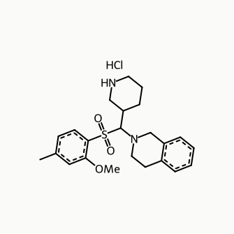 COc1cc(C)ccc1S(=O)(=O)C(C1CCCNC1)N1CCc2ccccc2C1.Cl